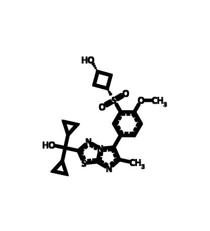 COc1ccc(-c2c(C)nc3sc(C(O)(C4CC4)C4CC4)nn23)cc1S(=O)(=O)[C@H]1C[C@@H](O)C1